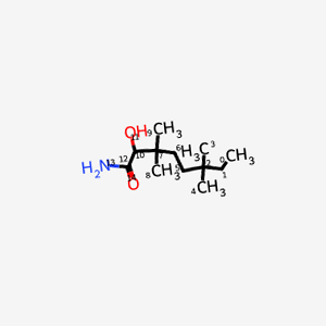 CCC(C)(C)CCC(C)(C)C(O)C(N)=O